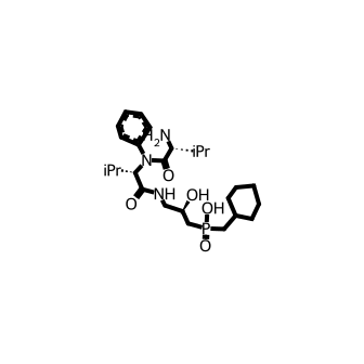 CC(C)[C@@H](C(=O)NC[C@@H](O)CP(=O)(O)CC1CCCCC1)N(C(=O)[C@H](N)C(C)C)c1ccccc1